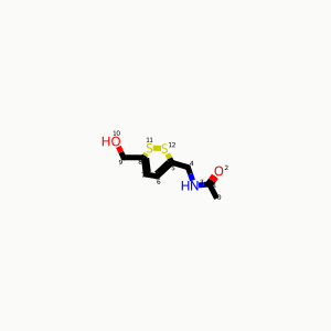 CC(=O)NCC1=CC=C(CO)SS1